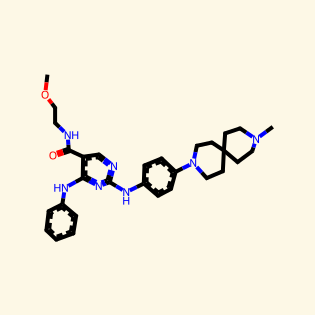 COCCNC(=O)c1cnc(Nc2ccc(N3CCC4(CCN(C)CC4)CC3)cc2)nc1Nc1ccccc1